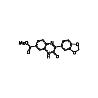 COC(=O)c1ccc2nc(-c3ccc4c(c3)OCO4)c(=O)[nH]c2c1